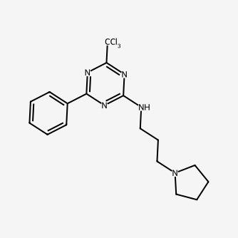 ClC(Cl)(Cl)c1nc(NCCCN2CCCC2)nc(-c2ccccc2)n1